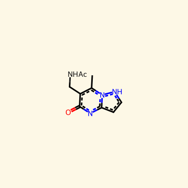 CC(=O)NCc1c(C)n2[nH]ccc2nc1=O